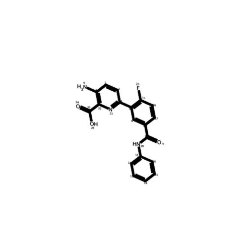 Nc1ccc(-c2cc(C(=O)Nc3ccccc3)ccc2F)nc1C(=O)O